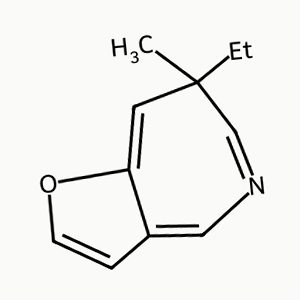 CCC1(C)C=NC=c2ccoc2=C1